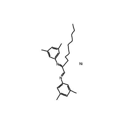 CCCCCCCCC(C=Nc1cc(C)cc(C)c1)=Nc1cc(C)cc(C)c1.[Ni]